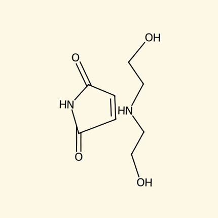 O=C1C=CC(=O)N1.OCCNCCO